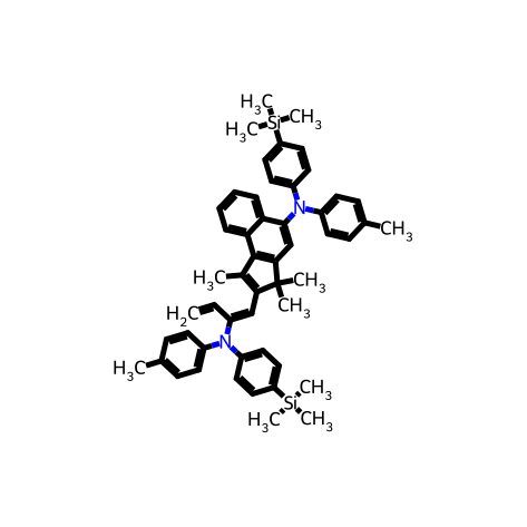 C=C/C(=C\C1=C(C)c2c(cc(N(c3ccc(C)cc3)c3ccc([Si](C)(C)C)cc3)c3ccccc23)C1(C)C)N(c1ccc(C)cc1)c1ccc([Si](C)(C)C)cc1